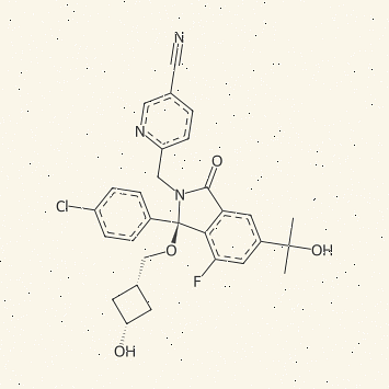 CC(C)(O)c1cc(F)c2c(c1)C(=O)N(Cc1ccc(C#N)cn1)[C@@]2(OC[C@H]1C[C@@H](O)C1)c1ccc(Cl)cc1